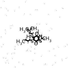 CCCCSC1=C(NCCN(C)C)C(=O)c2nc(C)sc2C1=O